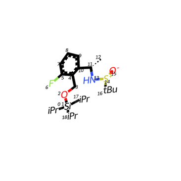 CC(C)[Si](OCc1c(F)cccc1[C@H](C)N[S+]([O-])C(C)(C)C)(C(C)C)C(C)C